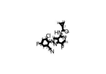 N#Cc1cc(F)cc(Cl)c1-n1cc2c(NC(=O)C3CC3)ncc(F)c2n1